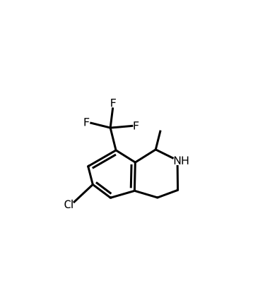 CC1NCCc2cc(Cl)cc(C(F)(F)F)c21